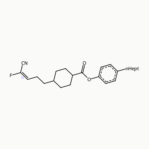 CCCCCCCc1ccc(OC(=O)C2CCC(CC/C=C(/F)C#N)CC2)cc1